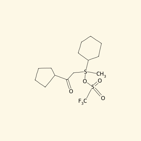 CS(CC(=O)C1CCCC1)(OS(=O)(=O)C(F)(F)F)C1CCCCC1